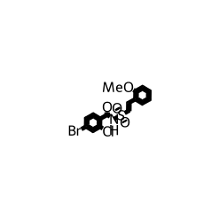 COc1ccccc1/C=C/S(=O)(=O)NC(=O)c1ccc(Br)cc1Cl